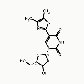 Cc1nc(-c2cn([C@@H]3CC(O)[C@H](CO)O3)c(=O)[nH]c2=O)sc1C